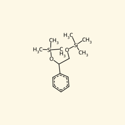 C[Si](C)(C)OCC(O[Si](C)(C)C)c1ccccc1